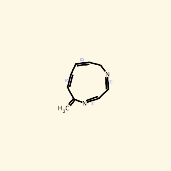 C=C1/C=C\C=C/C/N=C\C=N/1